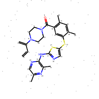 C=CC(=C)N1CCN(C(=O)c2cc(Sc3cnc(Nc4ncc(C)nc4C)s3)c(C)cc2C)CC1